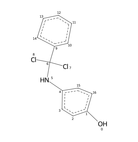 Oc1ccc(NC(Cl)(Cl)c2ccccc2)cc1